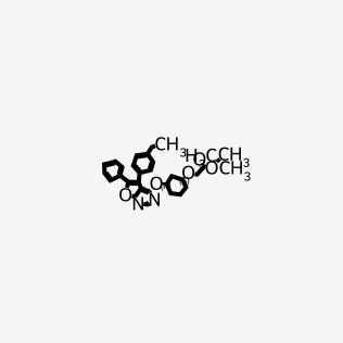 CCc1ccc(-c2c(-c3ccccc3)oc3ncnc(O[C@@H]4CCC[C@H](OCC(=O)OC(C)(C)C)C4)c23)cc1